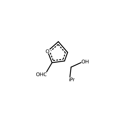 CC(C)CO.O=Cc1ccco1